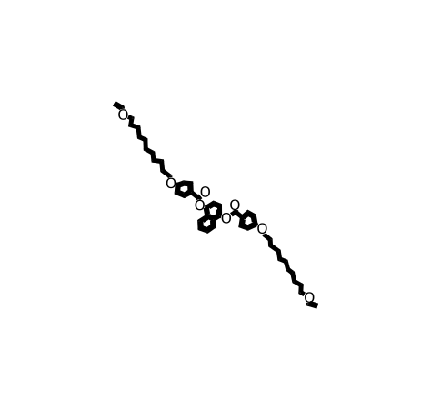 C=COCCCCCCCCCCCOc1ccc(C(=O)Oc2ccc(OC(=O)c3ccc(OCCCCCCCCCCCOC=C)cc3)c3ccccc23)cc1